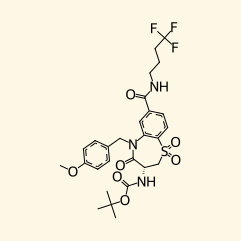 COc1ccc(CN2C(=O)[C@@H](NC(=O)OC(C)(C)C)CS(=O)(=O)c3ccc(C(=O)NCCCC(F)(F)F)cc32)cc1